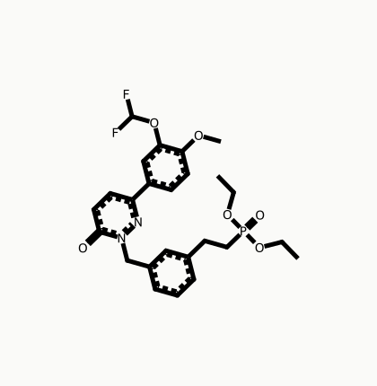 CCOP(=O)(CCc1cccc(Cn2nc(-c3ccc(OC)c(OC(F)F)c3)ccc2=O)c1)OCC